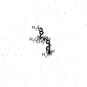 CC(C)n1cc(NC(=O)Nc2ccc(Oc3ccnc(NS(C)(=O)=O)c3)cc2)c(-c2ccc3c(c2)CN(C)CC3)n1